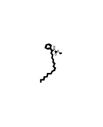 CCCCCCCC/C=C\CCCCCCCC(NC(=O)OCC)c1ccccc1